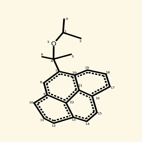 CC(C)OC(C)(C)c1cc2cccc3ccc4cccc1c4c32